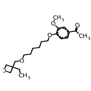 CCC1(COCCCCCCOc2ccc(C(C)=O)cc2OC)COC1